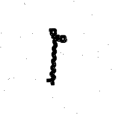 COCC(C)(CCCCCCCCCCCCC(C)C)COC